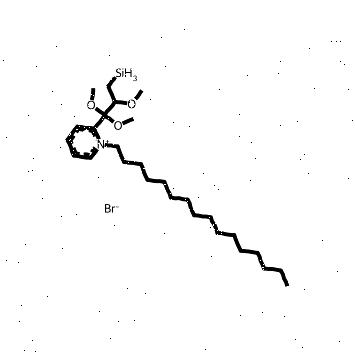 CCCCCCCCCCCCCCCC[n+]1ccccc1C(OC)(OC)C(C[SiH3])OC.[Br-]